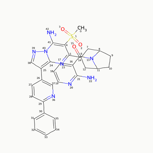 CS(=O)(=O)c1c(C2CC3CCC(C2)N3C(=O)c2cccnc2N)nc2c(-c3ccc(-c4ccccc4)nc3)cnn2c1N